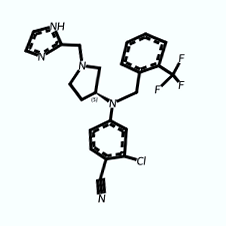 N#Cc1ccc(N(Cc2ccccc2C(F)(F)F)[C@H]2CCN(Cc3ncc[nH]3)C2)cc1Cl